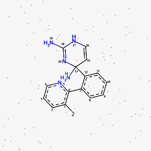 Cc1cccnc1-c1ccccc1C1(N)C=CNC(N)=N1